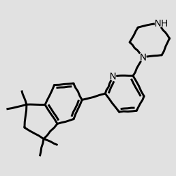 CC1(C)CC(C)(C)c2cc(-c3cccc(N4CCNCC4)n3)ccc21